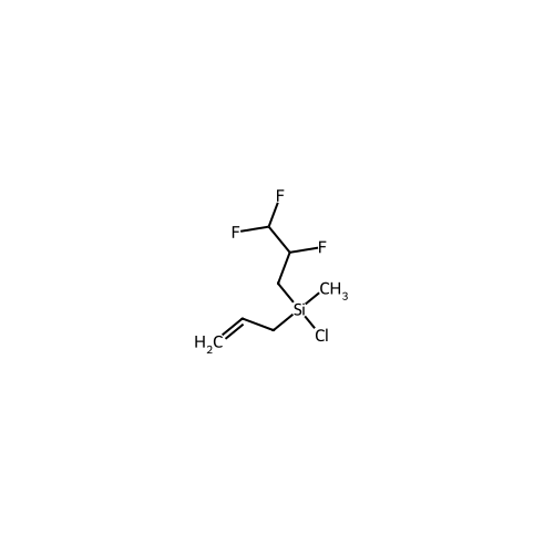 C=CC[Si](C)(Cl)CC(F)C(F)F